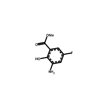 COC(=O)c1cc(F)cc(N)c1O